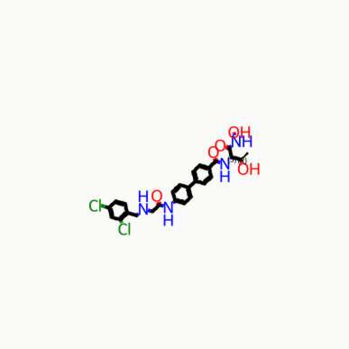 C[C@@H](O)[C@H](NC(=O)c1ccc(-c2ccc(NC(=O)CNCc3ccc(Cl)cc3Cl)cc2)cc1)C(=O)NO